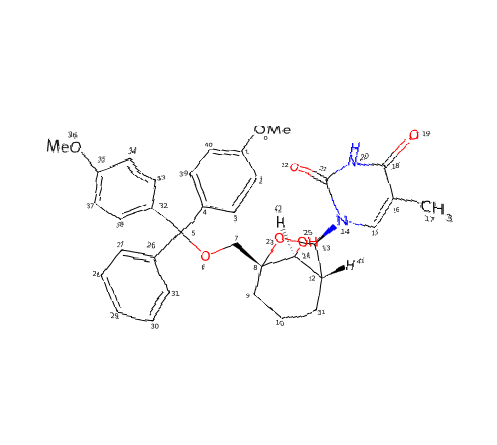 COc1ccc(C(OC[C@@]23CCC[C@@H]([C@H](n4cc(C)c(=O)[nH]c4=O)O2)[C@@H]3O)(c2ccccc2)c2ccc(OC)cc2)cc1